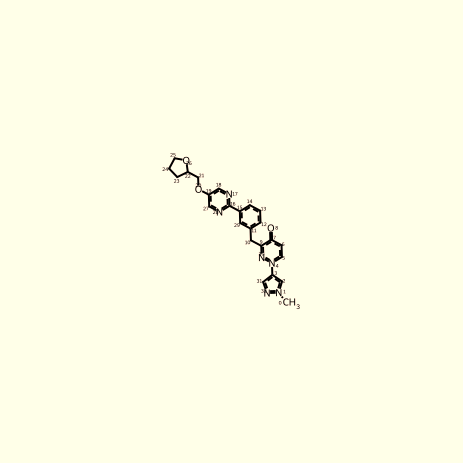 Cn1cc(-n2ccc(=O)c(Cc3cccc(-c4ncc(OCC5CCCO5)cn4)c3)n2)cn1